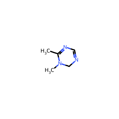 CC1=NC=NCN1C